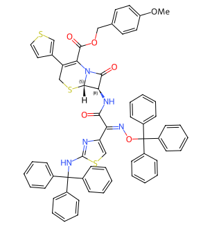 COc1ccc(COC(=O)C2=C(c3ccsc3)CS[C@H]3[C@H](NC(=O)C(=NOC(c4ccccc4)(c4ccccc4)c4ccccc4)c4csc(NC(c5ccccc5)(c5ccccc5)c5ccccc5)n4)C(=O)N23)cc1